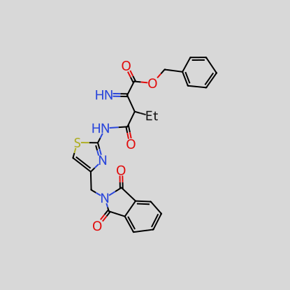 CCC(C(=N)C(=O)OCc1ccccc1)C(=O)Nc1nc(CN2C(=O)c3ccccc3C2=O)cs1